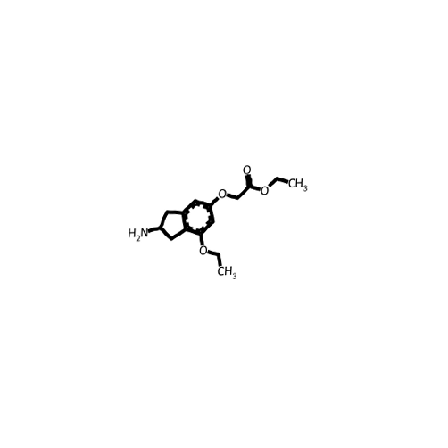 CCOC(=O)COc1cc2c(c(OCC)c1)CC(N)C2